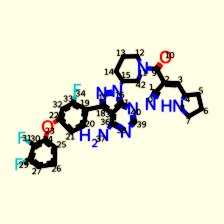 N#CC(=CC1CCCN1)C(=O)N1CCC[C@H](n2nc(-c3ccc(Oc4cccc(F)c4F)cc3F)c3c(N)ncnc32)C1